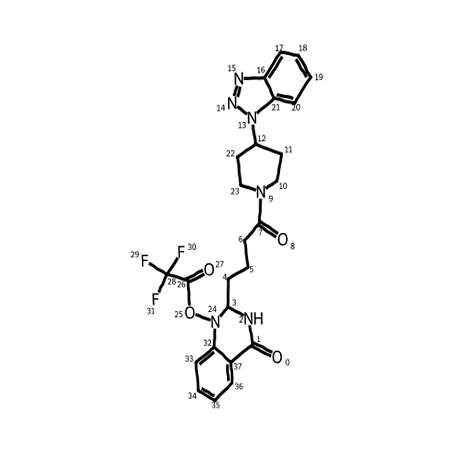 O=C1NC(CCCC(=O)N2CCC(n3nnc4ccccc43)CC2)N(OC(=O)C(F)(F)F)c2ccccc21